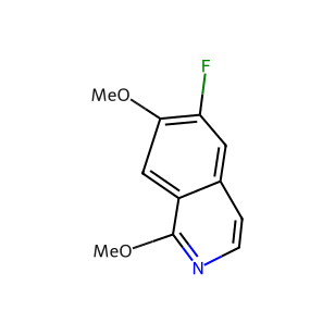 COc1cc2c(OC)nccc2cc1F